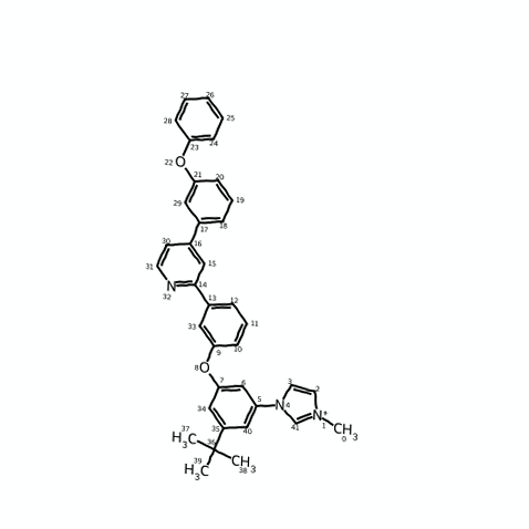 C[n+]1ccn(-c2cc(Oc3cccc(-c4cc(-c5cccc(Oc6ccccc6)c5)ccn4)c3)cc(C(C)(C)C)c2)c1